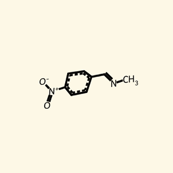 CN=Cc1ccc([N+](=O)[O-])cc1